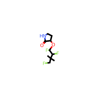 CC(C)(CF)C(F)C(F)OC1CCNC1=O